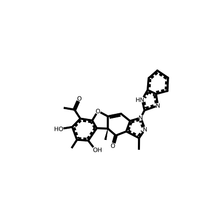 CC(=O)c1c(O)c(C)c(O)c2c1OC1=Cc3c(c(C)nn3-c3nc4ccccc4[nH]3)C(=O)[C@@]12C